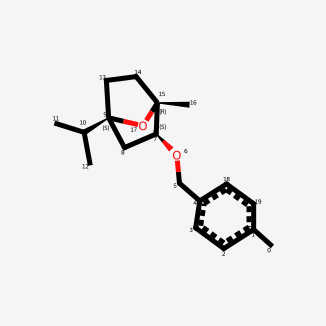 Cc1ccc(CO[C@H]2C[C@]3(C(C)C)CC[C@@]2(C)O3)cc1